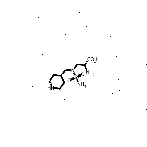 NC(CN(CC1CCNCC1)S(N)(=O)=O)C(=O)O